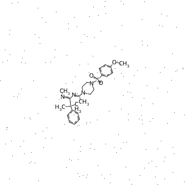 C/N=C(\N=C(/C)N1CCN(S(=O)(=O)c2ccc(OC)cc2)CC1)C(C)(C)c1ccccc1